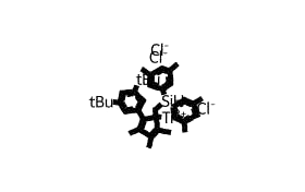 CC1=C(C)[C]([Ti+3])(C[SiH](c2cc(C)cc(C)c2)c2cc(C)cc(C)c2)C(c2cc(C(C)(C)C)cc(C(C)(C)C)c2)=C1C.[Cl-].[Cl-].[Cl-]